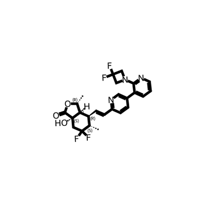 C[C@H]1OC(=O)[C@]2(O)CC(F)(F)[C@@H](C)[C@H](C=Cc3ccc(-c4cccnc4N4CC(F)(F)C4)cn3)[C@H]12